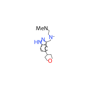 CNCCN(C)Cc1n[nH]c2ccc(C3CCOCC3)cc12